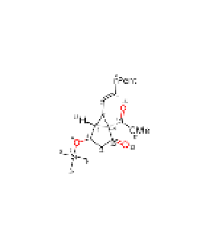 CCCCCC=CC1[C@H]2C(O[Si](C)(C)C)CC(=O)[C@]12C(=O)OC